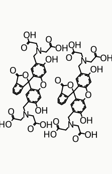 O=C(O)CN(CC(=O)O)Cc1cc2c(cc1O)Oc1cc(O)c(CN(CC(=O)O)CC(=O)O)cc1C21OC(=O)c2ccccc21.O=C(O)CN(CC(=O)O)Cc1cc2c(cc1O)Oc1cc(O)c(CN(CC(=O)O)CC(=O)O)cc1C21OC(=O)c2ccccc21